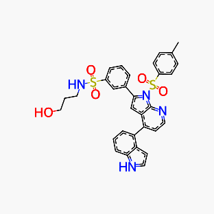 Cc1ccc(S(=O)(=O)n2c(-c3cccc(S(=O)(=O)NCCCO)c3)cc3c(-c4cccc5[nH]ccc45)ccnc32)cc1